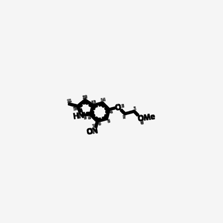 COCCOc1cc(N=O)c2[nH]c(C)cc2c1